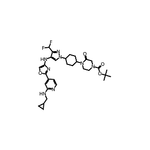 CC(C)(C)OC(=O)N1CCN(C2CCC(n3cc(Nc4coc(-c5ccnc(NCC6CC6)c5)n4)c(C(F)F)n3)CC2)C(=O)C1